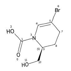 O=C(O)N1C=C(Br)CC[C@H]1CO